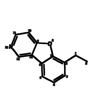 CCc1cccc2c1oc1ccncc12